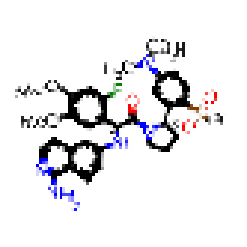 COc1cc(F)c([C@H](Nc2ccc3c(N)nccc3c2)C(=O)N2CCC[C@@H]2c2cc(N(C)C(=O)O)ccc2S(=O)(=O)C(C)C)cc1OC